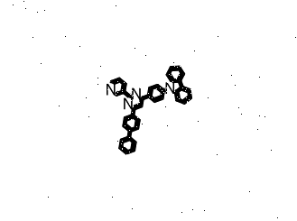 c1ccc(-c2ccc(-c3cc(-c4ccc(-n5c6ccccc6c6ccccc65)cc4)nc(-c4cccnc4)n3)cc2)cc1